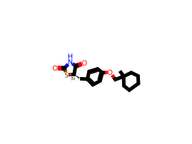 CC1(COc2ccc(C[C@@H]3SC(=O)NC3=O)cc2)CCCCC1